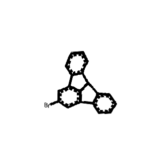 Brc1cc2c3c(c1)-c1ccccc1C3c1ccccc1-2